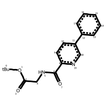 CC(C)(C)OC(=O)CNC(=O)c1ccc(-c2ccccc2)cn1